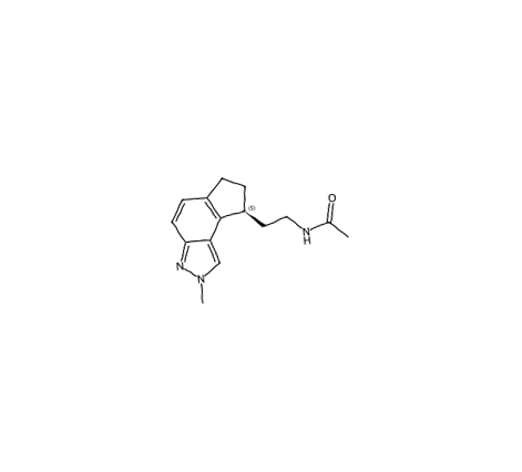 CC(=O)NCC[C@@H]1CCc2ccc3nn(C)cc3c21